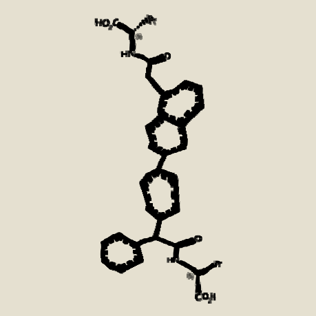 CC(C)[C@H](NC(=O)Cc1cccc2cc(-c3ccc(C(C(=O)N[C@H](C(=O)O)C(C)C)c4ccccc4)cc3)ccc12)C(=O)O